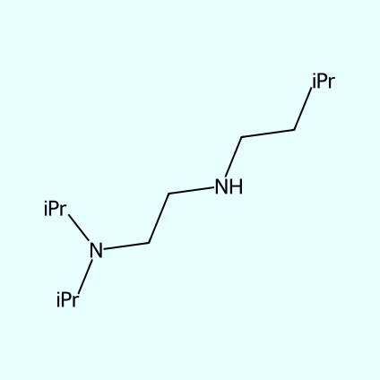 CC(C)CCNCCN(C(C)C)C(C)C